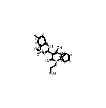 CC(C)(C)CCN1C(=O)C(C2=NS(=O)(=O)c3cc(I)ccc3N2)=C(O)C2C3C=CC(C3)C21